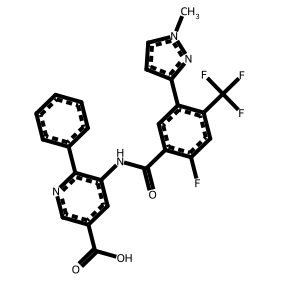 Cn1ccc(-c2cc(C(=O)Nc3cc(C(=O)O)cnc3-c3ccccc3)c(F)cc2C(F)(F)F)n1